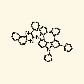 c1ccc(-c2cc3c4ccccc4c4cccc5c4c4c6c3c(c2)n(-c2ccccc2)c6ccc4n5-c2nc3ccc4ccccc4c3nc2-c2ccccc2)cc1